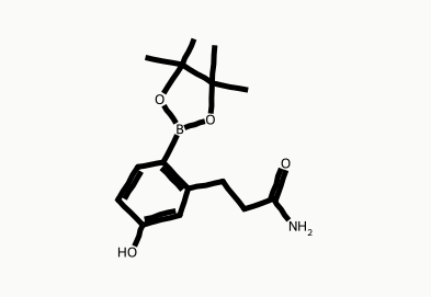 CC1(C)OB(c2ccc(O)cc2CCC(N)=O)OC1(C)C